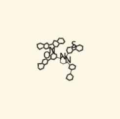 c1ccc(-c2cccc(C3CCC(c4cc(-n5c6cc7ccccc7cc6c6cc7ccccc7cc65)c5oc6cc7ccccc7cc6c5c4)=NC(c4ccc5sc6ccccc6c5c4)=N3)c2)cc1